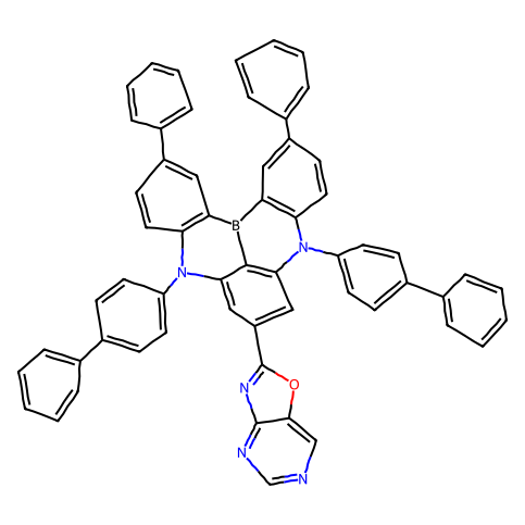 c1ccc(-c2ccc(N3c4ccc(-c5ccccc5)cc4B4c5cc(-c6ccccc6)ccc5N(c5ccc(-c6ccccc6)cc5)c5cc(-c6nc7ncncc7o6)cc3c54)cc2)cc1